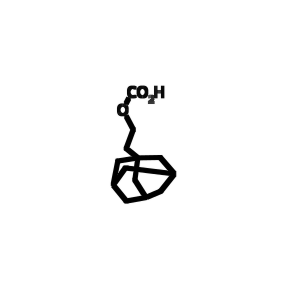 O=C(O)OCCC12CC3CC(CC(C3)C1)C2